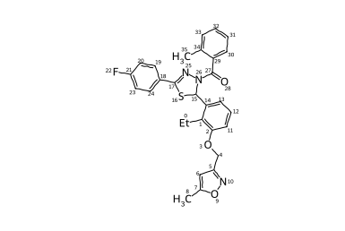 CCc1c(OCc2cc(C)on2)cccc1C1SC(c2ccc(F)cc2)=NN1C(=O)c1ccccc1C